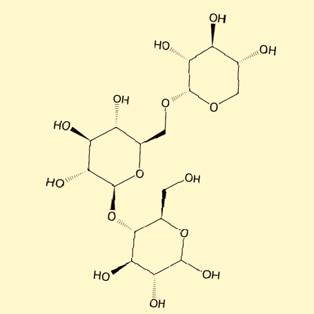 OC[C@H]1OC(O)[C@H](O)[C@@H](O)[C@@H]1O[C@@H]1O[C@H](CO[C@H]2OC[C@@H](O)[C@H](O)[C@H]2O)[C@@H](O)[C@H](O)[C@H]1O